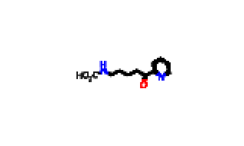 O=C(O)NCCCCC(=O)c1ccccn1